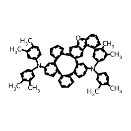 Cc1ccc(N(c2ccc(C)c(C)c2)c2ccc3c4ccccc4c4ccc(N(c5ccc(C)c(C)c5)c5ccc(C)c(C)c5)cc4c4cc5c(cc4c4ccccc4c3c2)oc2ccccc25)cc1C